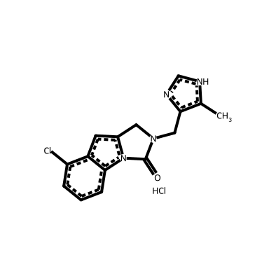 Cc1[nH]cnc1CN1Cc2cc3c(Cl)cccc3n2C1=O.Cl